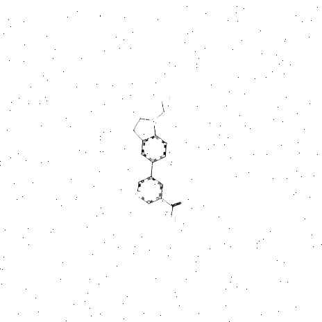 CCN1CCc2cc(-c3cncc(C(C)=O)c3)ccc21